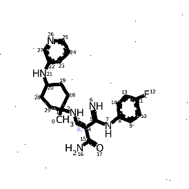 CC1(N/C=C(\C(=N)Nc2ccc(F)cc2)C(N)=O)CCC(Nc2cccnc2)CC1